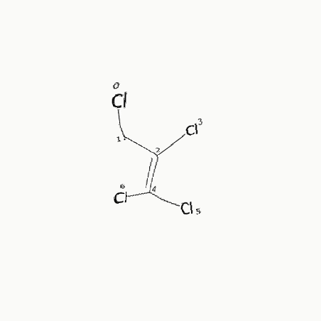 Cl[CH]C(Cl)=C(Cl)Cl